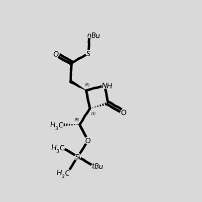 CCCCSC(=O)C[C@H]1NC(=O)[C@@H]1[C@@H](C)O[Si](C)(C)C(C)(C)C